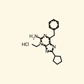 CCn1c(N)nc(Cc2ccccc2)c2nc(C3CCCC3)nc1-2.Cl